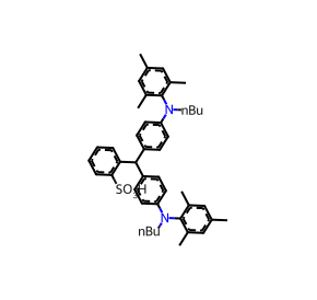 CCCCN(c1ccc(C(c2ccc(N(CCCC)c3c(C)cc(C)cc3C)cc2)c2ccccc2S(=O)(=O)O)cc1)c1c(C)cc(C)cc1C